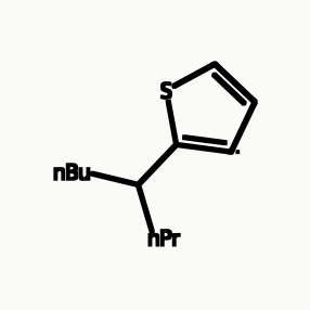 CCCCC(CCC)c1[c]ccs1